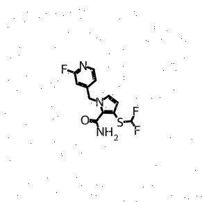 NC(=O)c1c(SC(F)F)ccn1Cc1ccnc(F)c1